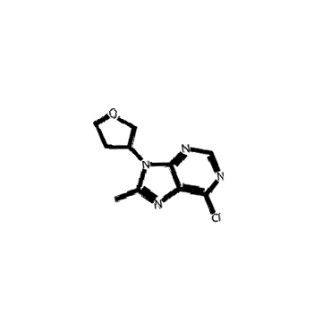 Cc1nc2c(Cl)ncnc2n1C1CCOC1